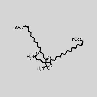 CCCCCCCC/C=C\CCCCCCCCCCCC(=O)C(CCCC(N)=O)(C(N)=O)C(=O)CCCCCCCCCCC/C=C\CCCCCCCC